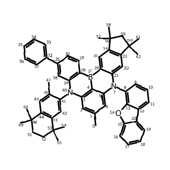 Cc1cc2c3c(c1)N(c1cccc4c1oc1ccccc14)c1cc4c(cc1B3c1ccc(-c3ccccc3)cc1N2c1cc2c(cc1C)C(C)(C)CCC2(C)C)C(C)(C)CC4(C)C